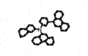 c1cc(-c2cc3ccccc3c3ccccc23)cc(N(c2ccc3ccccc3c2)c2cc3ccccc3c3ccccc23)c1